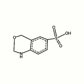 O=S(=O)(O)c1ccc2c(c1)COCN2